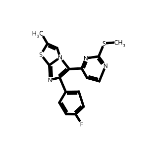 CSc1nccc(-c2c(-c3ccc(F)cc3)nc3sc(C)cn23)n1